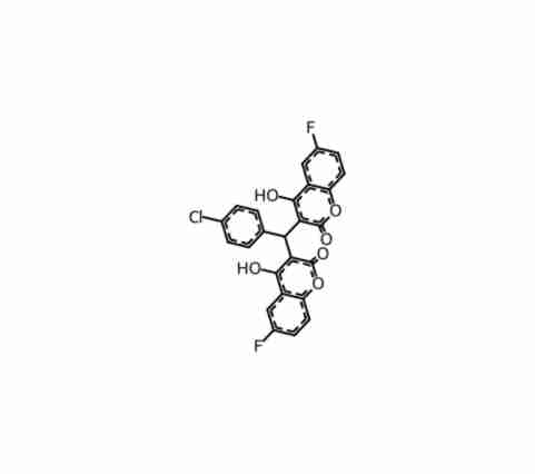 O=c1oc2ccc(F)cc2c(O)c1C(c1ccc(Cl)cc1)c1c(O)c2cc(F)ccc2oc1=O